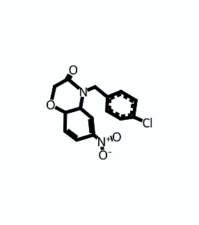 O=C1COC2C=CC([N+](=O)[O-])=CC2N1Cc1ccc(Cl)cc1